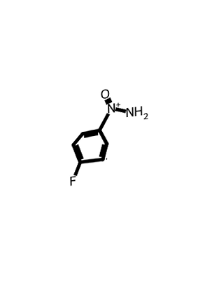 N[N+](=O)c1c[c]c(F)cc1